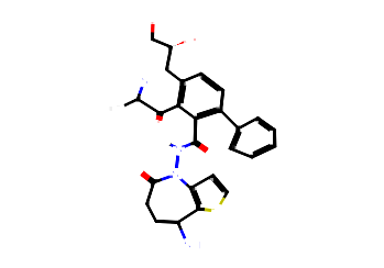 CC(C)C(N)C(=O)c1c(C[C@H](O)CO)ccc(-c2ccccc2)c1C(=O)N(C)N1C(=O)CCC(N)c2sccc21